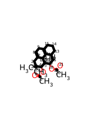 CC(=O)O[C@@H]1C2[C@H]3C(=CCC4=C3[C@@H](CCC4)C[C@H]2OC(C)=O)CC1(C)C